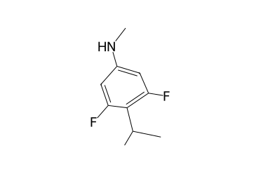 CNc1cc(F)c(C(C)C)c(F)c1